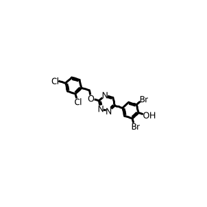 Oc1c(Br)cc(-c2cnc(OCc3ccc(Cl)cc3Cl)nn2)cc1Br